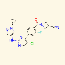 N#CC1CN(C(=O)c2ccc(-c3nc(Nc4cnn(C5CC5)c4)ncc3Cl)cc2F)C1